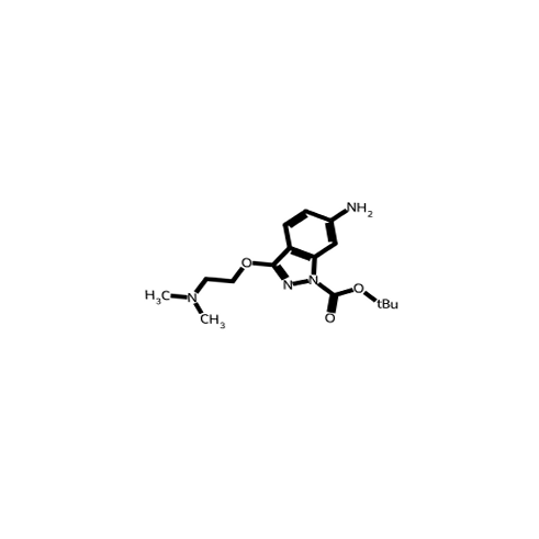 CN(C)CCOc1nn(C(=O)OC(C)(C)C)c2cc(N)ccc12